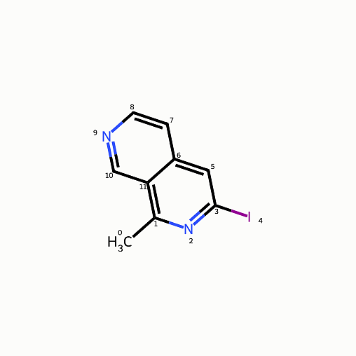 Cc1nc(I)cc2ccncc12